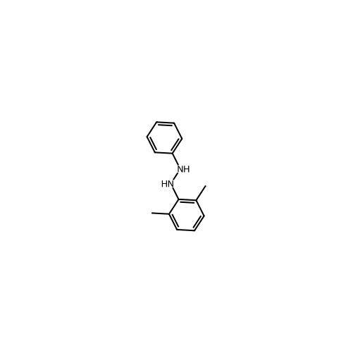 Cc1cccc(C)c1NNc1ccccc1